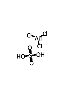 O=S(=O)(O)O.[Cl][Au]([Cl])[Cl]